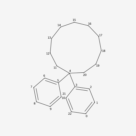 c1ccc(C2(c3ccccc3)CCCCCCCCCC2)cc1